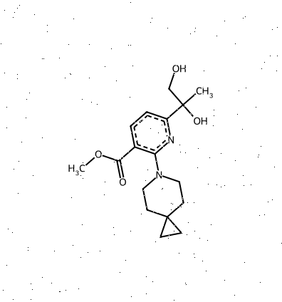 COC(=O)c1ccc(C(C)(O)CO)nc1N1CCC2(CC1)CC2